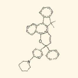 CC1(C)c2ccccc2-c2c1c1c(c3ccccc23)OC(c2ccccc2)(c2ccc(N3CCCCC3)cc2)C=C1